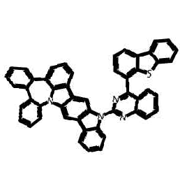 c1ccc2c(c1)-c1ccccc1-n1c3cc4c5ccccc5n(-c5nc(-c6cccc7c6sc6ccccc67)c6ccccc6n5)c4cc3c3cccc-2c31